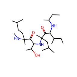 CCC(C)NC(C(=O)C(C)(CC(C)C)NC(C(=O)C(C)(CCC(C)C)NC)C(C)O)C(C)CC